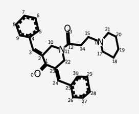 O=C1/C(=C/c2ccccc2)CN(C(=O)CCN2CCCCC2)C/C1=C\c1ccccc1